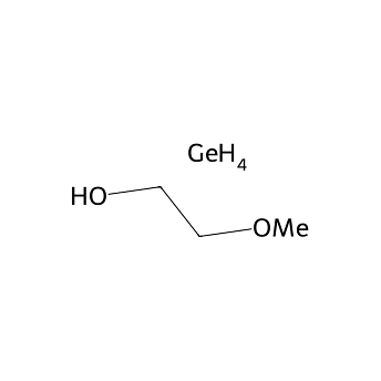 COCCO.[GeH4]